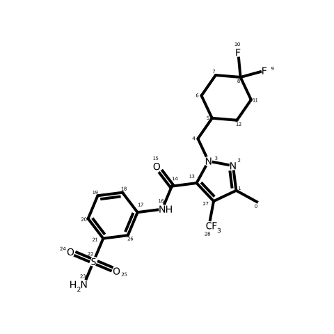 Cc1nn(CC2CCC(F)(F)CC2)c(C(=O)Nc2cccc(S(N)(=O)=O)c2)c1C(F)(F)F